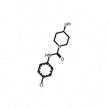 CCCC1CCN(C(=O)Nc2ccc(Cl)cc2)CC1